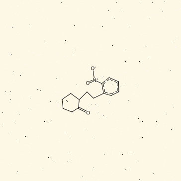 O=C1CCCCC1CCc1ccccc1[N+](=O)[O-]